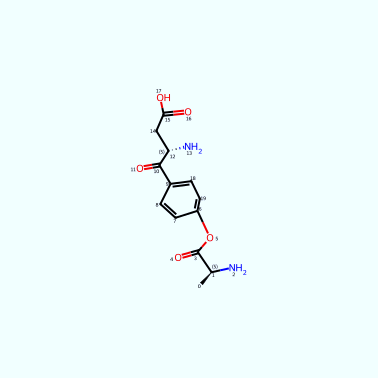 C[C@H](N)C(=O)Oc1ccc(C(=O)[C@@H](N)CC(=O)O)cc1